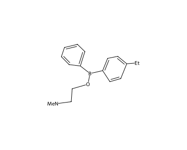 CCc1ccc(B(OCCNC)c2ccccc2)cc1